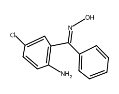 Nc1ccc(Cl)cc1C(=NO)c1ccccc1